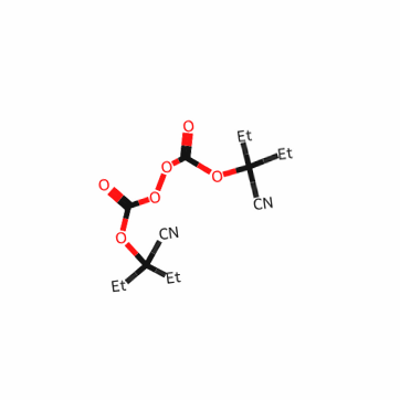 CCC(C#N)(CC)OC(=O)OOC(=O)OC(C#N)(CC)CC